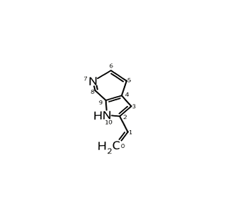 C=Cc1cc2ccncc2[nH]1